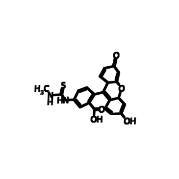 CNC(=S)Nc1ccc(C2=C3C=CC(O)=CC3OC3=CC(=O)C=CC32)c(C(=O)O)c1